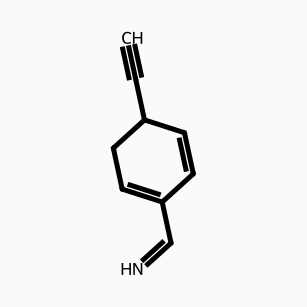 C#CC1C=CC(C=N)=CC1